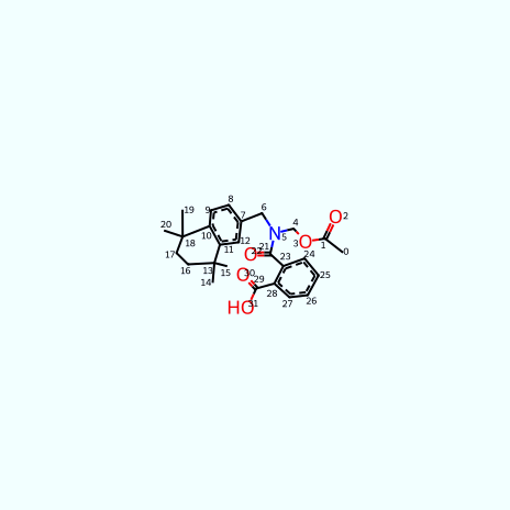 CC(=O)OCN(Cc1ccc2c(c1)C(C)(C)CCC2(C)C)C(=O)c1ccccc1C(=O)O